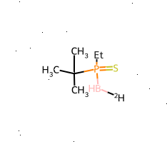 [2H]BP(=S)(CC)C(C)(C)C